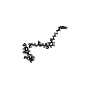 CCCCCCCCCCCCCCCCCCOc1cccc(C(=O)OCCOC(=O)CCC/C=C\C[C@@H]2[C@H](/C=C/C[C@H](O)C3(CC)CCC3)[C@H](O)C[C@@H]2Cl)c1